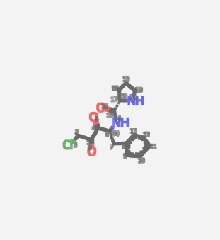 O=C(CCl)C(=O)[C@H](Cc1ccccc1)NC(=O)[C@@H]1CCCN1